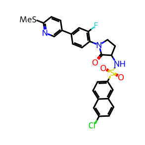 CSc1ccc(-c2ccc(N3CCC(NS(=O)(=O)c4ccc5cc(Cl)ccc5c4)C3=O)c(F)c2)cn1